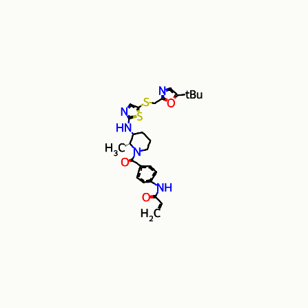 C=CC(=O)Nc1ccc(C(=O)N2CCC[C@@H](Nc3ncc(SCc4ncc(C(C)(C)C)o4)s3)[C@H]2C)cc1